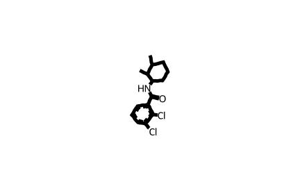 CC1CCCC(NC(=O)c2cccc(Cl)c2Cl)C1C